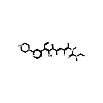 C=C/C(=C(/O)C(=C)/C(C)=C/C(F)=C(\C)N(C)C(=O)N(C)CC)c1ccnc(N2CCNCC2)c1